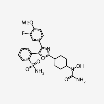 COc1ccc(-c2nc(C3CCC(N(O)C(N)=O)CC3)oc2-c2ccccc2S(N)(=O)=O)cc1F